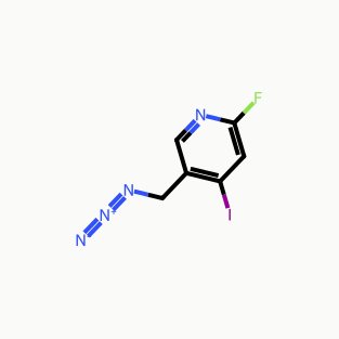 [N-]=[N+]=NCc1cnc(F)cc1I